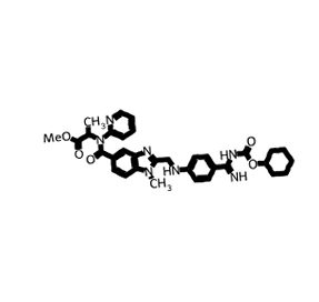 COC(=O)C(C)N(C(=O)c1ccc2c(c1)nc(CNc1ccc(C(=N)NC(=O)OC3CCCCC3)cc1)n2C)c1ccccn1